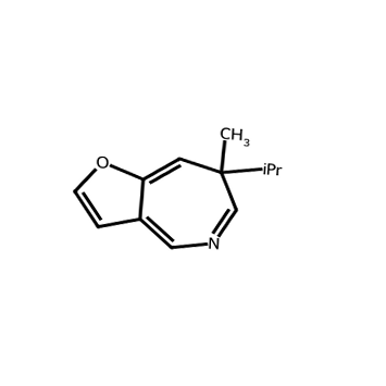 CC(C)C1(C)C=NC=c2ccoc2=C1